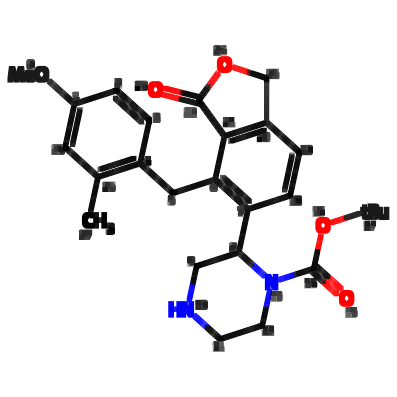 COc1ccc(Cc2c(C3CNCCN3C(=O)OC(C)(C)C)ccc3c2C(=O)OC3)c(C)c1